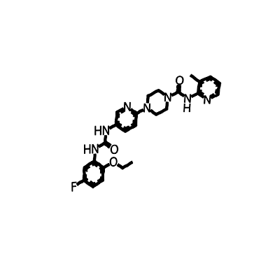 CCOc1ccc(F)cc1NC(=O)Nc1ccc(N2CCN(C(=O)Nc3ncccc3C)CC2)nc1